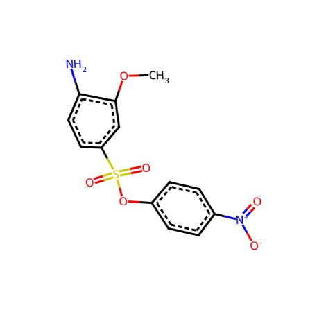 COc1cc(S(=O)(=O)Oc2ccc([N+](=O)[O-])cc2)ccc1N